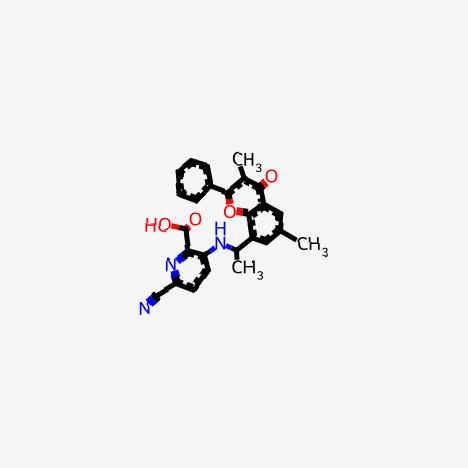 Cc1cc(C(C)Nc2ccc(C#N)nc2C(=O)O)c2oc(-c3ccccc3)c(C)c(=O)c2c1